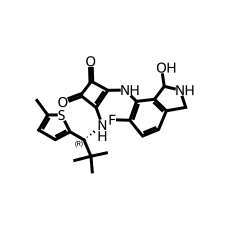 Cc1ccc([C@H](Nc2c(Nc3c(F)ccc4c3C(O)NC4)c(=O)c2=O)C(C)(C)C)s1